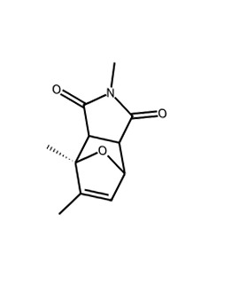 CC1=CC2O[C@]1(C)C1C(=O)N(C)C(=O)C21